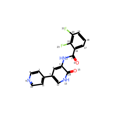 O=C(Nc1cc(-c2ccncc2)c[nH]c1=O)c1cccc(F)c1F